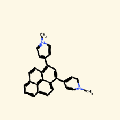 CN1C=CC(c2cc(-c3cc[n+](C)cc3)c3ccc4cccc5ccc2c3c54)=CC1